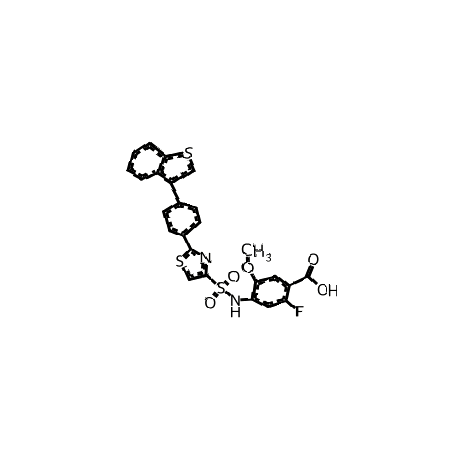 COc1cc(C(=O)O)c(F)cc1NS(=O)(=O)c1csc(-c2ccc(-c3csc4ccccc34)cc2)n1